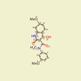 COc1cccc(N(C)C(=O)c2c(O)c3ccc(OC)cc3[nH]c2=O)c1